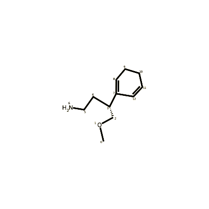 COC[C@H](CCN)C1=CCCC=C1